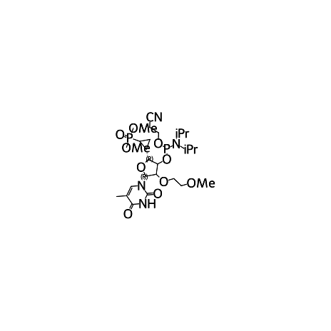 COCCOC1C(OP(OCCC#N)N(C(C)C)C(C)C)[C@@H](C2CC2P(=O)(OC)OC)O[C@H]1n1cc(C)c(=O)[nH]c1=O